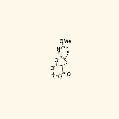 COc1ccc(CC2C(=O)OC(C)(C)OC2=O)cn1